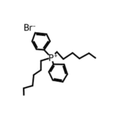 CCCCCC[P+](CCCCCC)(c1ccccc1)c1ccccc1.[Br-]